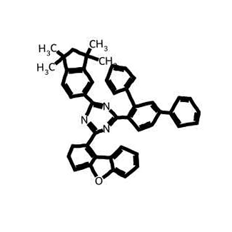 CC1(C)CC(C)(C)c2cc(-c3nc(C4=c5c(oc6ccccc56)=CCC4)nc(-c4ccc(-c5ccccc5)cc4-c4ccccc4)n3)ccc21